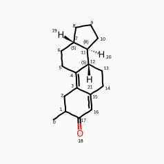 CC1CC2=C3CC[C@@H]4CCC[C@H]4[C@@H]3CCC2=CC1=O